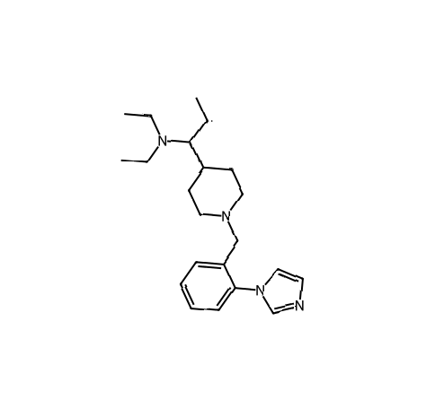 C[CH]C(C1CCN(Cc2ccccc2-n2ccnc2)CC1)N(CC)CC